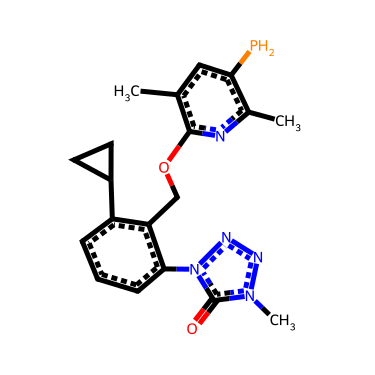 Cc1cc(P)c(C)nc1OCc1c(C2CC2)cccc1-n1nnn(C)c1=O